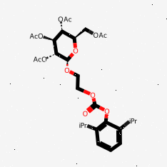 CC(=O)OC[C@H]1O[C@H](OCCOC(=O)Oc2c(C(C)C)cccc2C(C)C)[C@H](OC(C)=O)[C@@H](OC(C)=O)[C@@H]1OC(C)=O